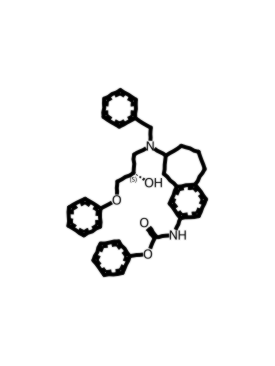 O=C(Nc1ccc2c(c1)CC(N(Cc1ccccc1)C[C@H](O)COc1ccccc1)CCC2)Oc1ccccc1